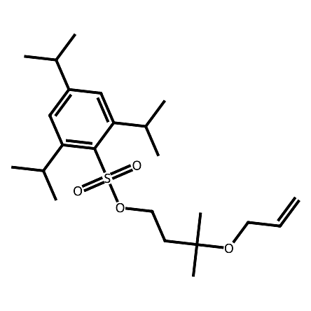 C=CCOC(C)(C)CCOS(=O)(=O)c1c(C(C)C)cc(C(C)C)cc1C(C)C